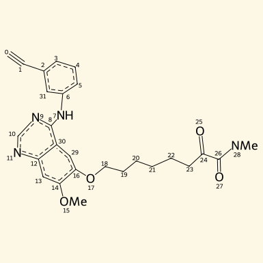 C#Cc1cccc(Nc2ncnc3cc(OC)c(OCCCCCCC(=O)C(=O)NC)cc23)c1